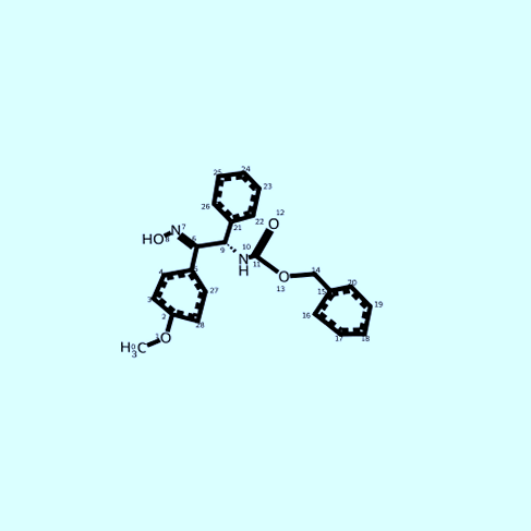 COc1ccc(/C(=N\O)[C@@H](NC(=O)OCc2ccccc2)c2ccccc2)cc1